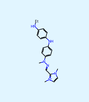 CCNc1ccc(Nc2ccc(N(C)/N=C/c3n(C)cc[n+]3C)cc2)cc1